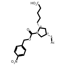 CC(=O)S[C@H]1C[C@@H](CCCCC(=O)O)N(C(=O)OCc2ccc([N+](=O)[O-])cc2)C1